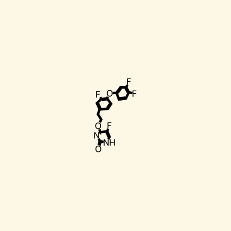 O=c1nc(OCCc2ccc(Oc3ccc(F)c(F)c3)c(F)c2)c(F)c[nH]1